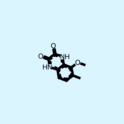 COc1c(C)ccc2[nH]c(=O)c(=O)[nH]c12